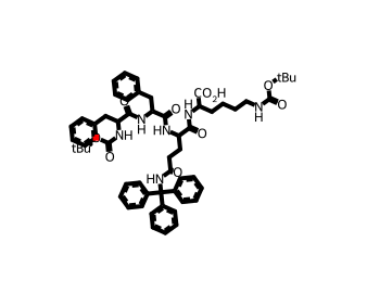 CC(C)(C)OC(=O)NCCCCC(NC(=O)C(CCC(=O)NC(c1ccccc1)(c1ccccc1)c1ccccc1)NC(=O)C(Cc1ccccc1)NC(=O)C(Cc1ccccc1)NC(=O)OC(C)(C)C)C(=O)O